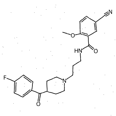 COc1ccc(C#N)cc1C(=O)NCCCN1CCC(C(=O)c2ccc(F)cc2)CC1